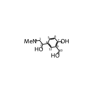 CNCC(O)c1ccc(O)c(CO)c1